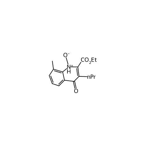 CCCC1=C(C(=O)OCC)[NH+]([O-])c2c(C)cccc2C1=O